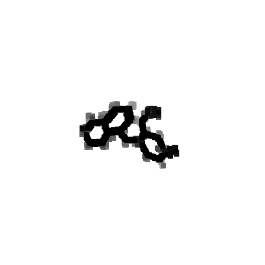 OCC1CNCCN1Cc1cccc2cnccc12